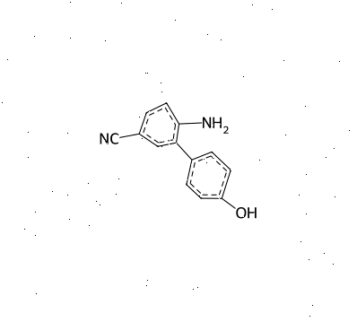 N#Cc1ccc(N)c(-c2ccc(O)cc2)c1